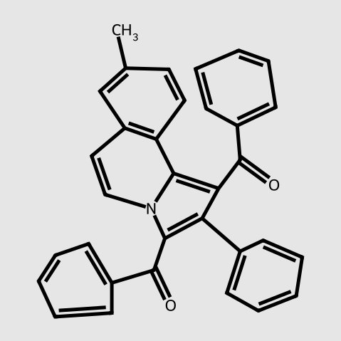 Cc1ccc2c(ccn3c(C(=O)c4ccccc4)c(-c4ccccc4)c(C(=O)c4ccccc4)c23)c1